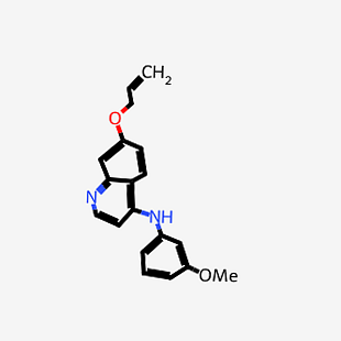 C=CCOc1ccc2c(Nc3cccc(OC)c3)ccnc2c1